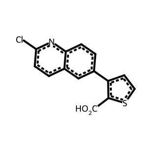 O=C(O)c1sccc1-c1ccc2nc(Cl)ccc2c1